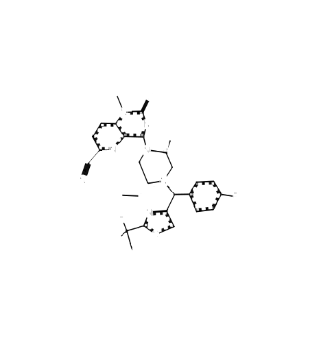 CC[C@@H]1CN(c2nc(=O)n(C)c3ccc(C#N)nc23)[C@@H](C)CN1C(c1ccc(F)cc1)c1csc(C(F)(F)F)n1